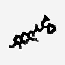 CN(C)[C@H](CNC(=O)C[C@@H](CC1CC1)c1cncnc1)Cc1ccc(O)c(Cl)c1